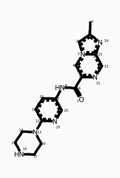 Cc1cn2cc(C(=O)Nc3ccc(N4CCNCC4)nc3)ncc2n1